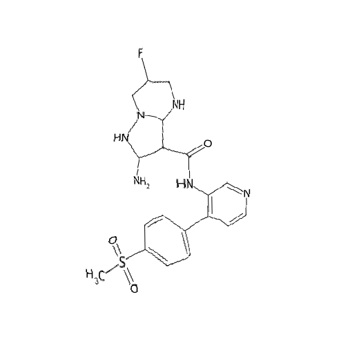 CS(=O)(=O)c1ccc(-c2ccncc2NC(=O)C2C(N)NN3CC(F)CNC23)cc1